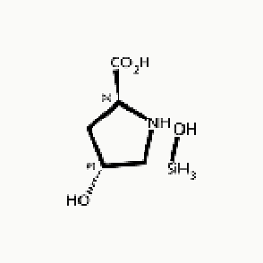 O=C(O)[C@@H]1C[C@@H](O)CN1.O[SiH3]